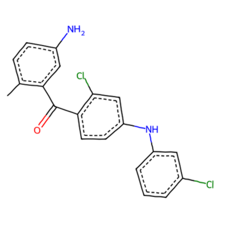 Cc1ccc(N)cc1C(=O)c1ccc(Nc2cccc(Cl)c2)cc1Cl